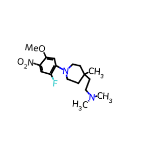 COc1cc(N2CCC(C)(CCN(C)C)CC2)c(F)cc1[N+](=O)[O-]